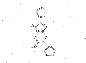 COC(=O)C(OB1OC(=O)C(c2ccccc2)O1)c1ccccc1